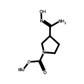 CC(C)(C)OC(=O)N1CCC(/C(N)=N/O)C1